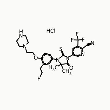 CC1(C)C(=O)N(c2cnc(C#N)c(C(F)(F)F)c2)C(=S)N1c1ccc(OCCN2CCNCC2)c(CCF)c1.Cl